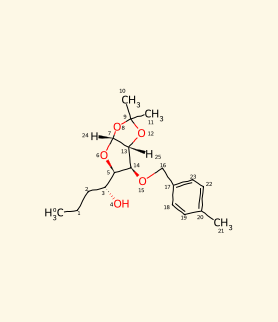 CCC[C@@H](O)[C@H]1O[C@@H]2OC(C)(C)O[C@@H]2[C@H]1OCc1ccc(C)cc1